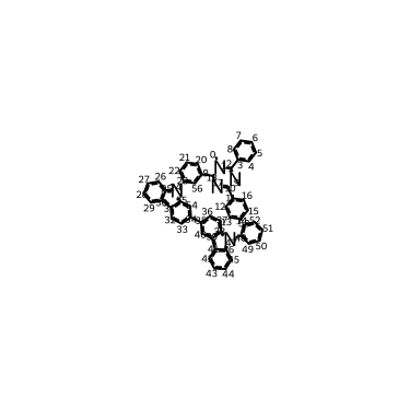 CN1C(c2ccccc2)=NC(c2ccccc2)=NC1c1cccc(-n2c3ccccc3c3ccc(-c4ccc5c(c4)c4ccccc4n5-c4ccccc4)cc32)c1